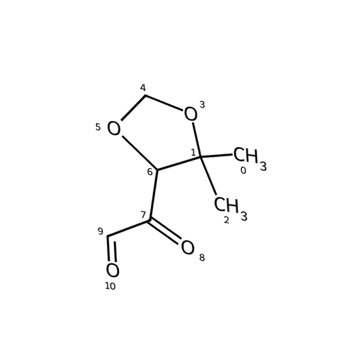 CC1(C)OCOC1C(=O)C=O